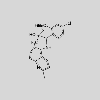 COc1cc(Cl)ccc1C(Nc1cccc2nc(C)ccc12)C(O)(CO)C(F)(F)F